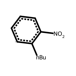 CCCCc1[c]cccc1[N+](=O)[O-]